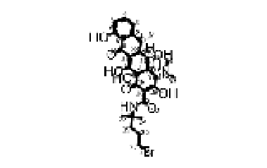 C[C@H]1c2cccc(O)c2C(=O)C2=C(O)[C@]3(O)C(=O)C(C(=O)NC(C)(C)CCCBr)=C(O)[C@@H](N(C)C)[C@@H]3[C@@H](O)[C@@H]21